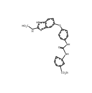 CCOC(=O)c1cccc(NC(=O)Nc2ccc(Oc3ccc4[nH]c(NC(=O)O)nc4c3)cc2)c1